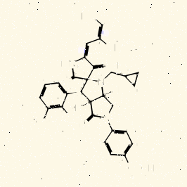 C=C1/C(=C\C(Cl)=C/C)NC(=O)[C@@]12[C@H](c1cccc(Cl)c1F)[C@H]1C(=O)N(c3ccc(C(=O)O)cc3)C[C@H]1N2CC1CC1